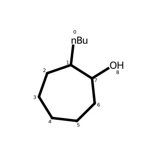 CCCCC1CCCCCC1O